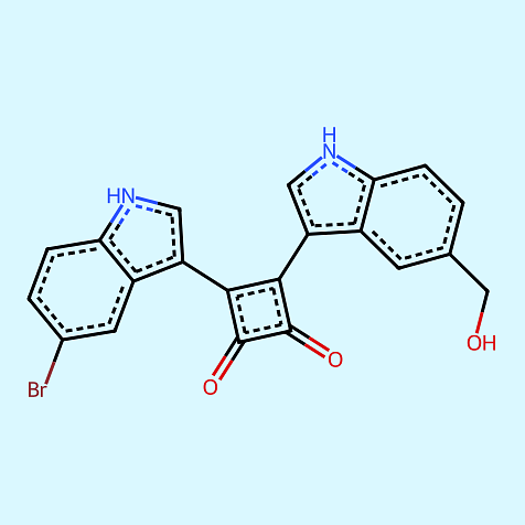 O=c1c(-c2c[nH]c3ccc(Br)cc23)c(-c2c[nH]c3ccc(CO)cc23)c1=O